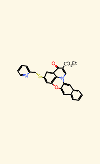 CCOC(=O)c1cn2c3c(cc(SCc4ccccn4)cc3c1=O)Oc1cc3ccccc3cc1-2